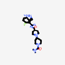 CN(C)C(=O)N1CCC(N2CCC(c3nc(-c4c(F)ccc5[nH]ncc45)no3)CC2)CC1